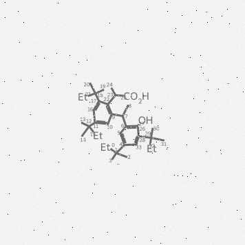 CCC(C)(C)c1cc(C(C)c2cc(C(C)(C)CC)cc(C(C)(C)CC)c2C(C)C(=O)O)c(O)c(C(C)(C)CC)c1